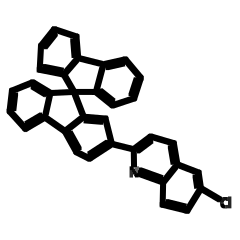 Clc1ccc2nc(-c3ccc4c(c3)C3(c5ccccc5-c5ccccc53)c3ccccc3-4)ccc2c1